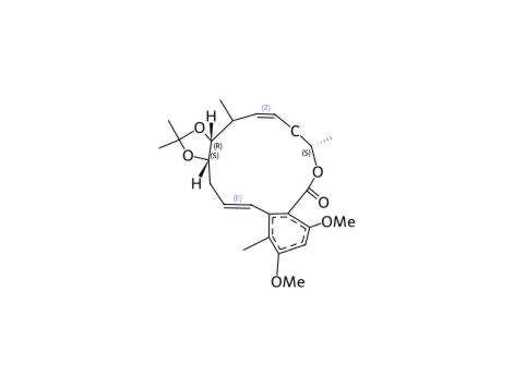 COc1cc(OC)c2c(c1C)/C=C/C[C@@H]1OC(C)(C)O[C@@H]1C(C)/C=C\C[C@H](C)OC2=O